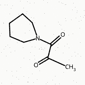 CC(=O)C(=O)N1CCCCC1